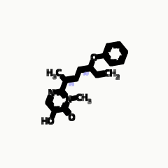 C=C/C(=C\C=C(/C)c1ncc(O)c(=O)n1C)Oc1ccccc1